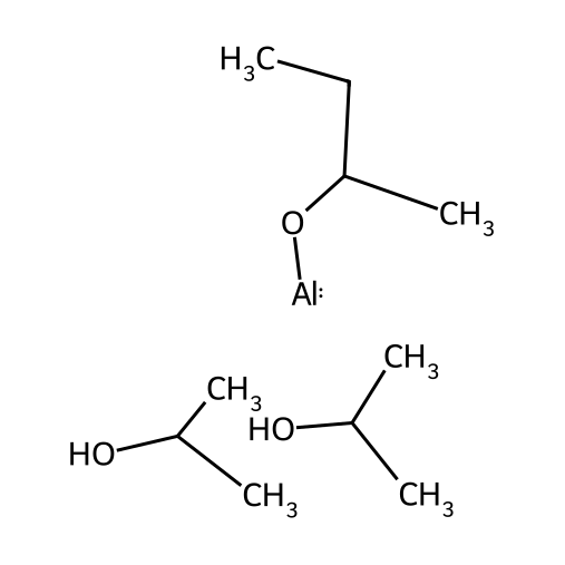 CC(C)O.CC(C)O.CCC(C)[O][Al]